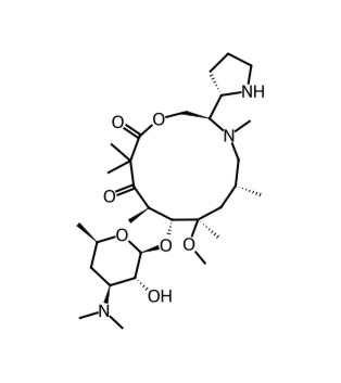 CO[C@]1(C)C[C@@H](C)CN(C)[C@H]([C@@H]2CCCN2)COC(=O)C(C)(C)C(=O)[C@H](C)[C@H]1O[C@@H]1O[C@H](C)C[C@H](N(C)C)[C@H]1O